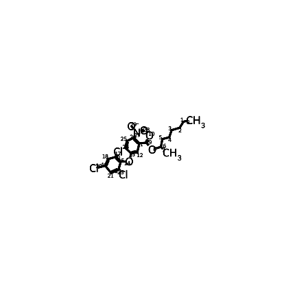 CCCCCCC(C)OC(=O)c1cc(Oc2c(Cl)cc(Cl)cc2Cl)ccc1[N+](=O)[O-]